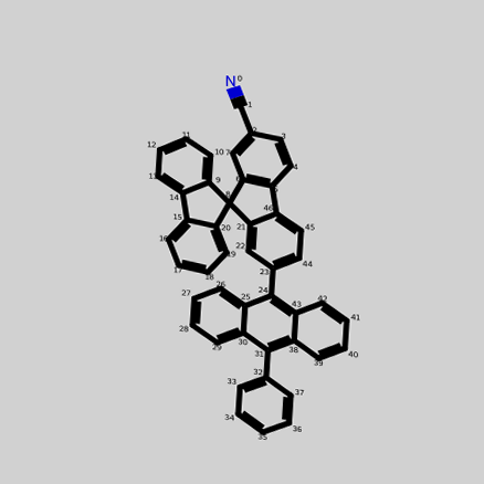 N#Cc1ccc2c(c1)C1(c3ccccc3-c3ccccc31)c1cc(-c3c4ccccc4c(-c4ccccc4)c4ccccc34)ccc1-2